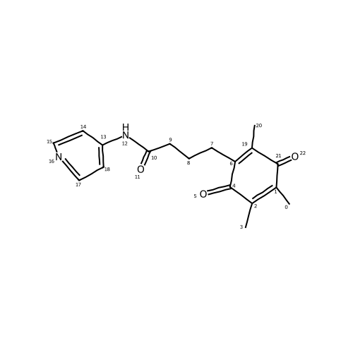 CC1=C(C)C(=O)C(CCCC(=O)Nc2ccncc2)=C(C)C1=O